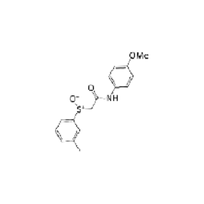 COc1ccc(NC(=O)C[S+]([O-])c2cccc(C)c2)cc1